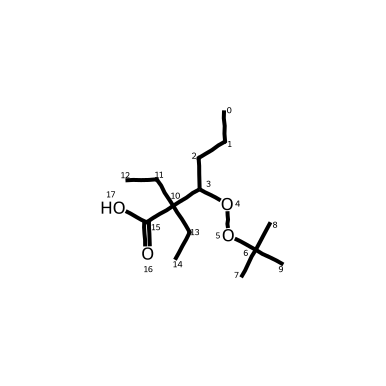 CCCC(OOC(C)(C)C)C(CC)(CC)C(=O)O